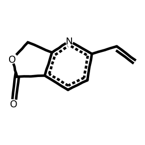 C=Cc1ccc2c(n1)COC2=O